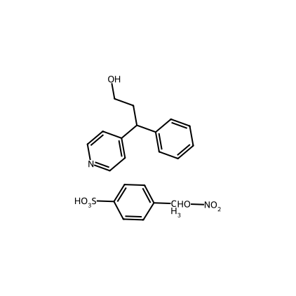 Cc1ccc(S(=O)(=O)O)cc1.O=[N+]([O-])O.OCCC(c1ccccc1)c1ccncc1